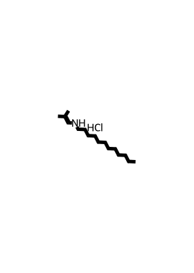 CCCCCCCCCCCCNC=C(C)C.Cl